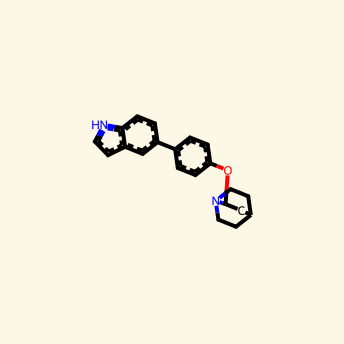 c1cc2cc(-c3ccc(OC4CC5CCN4CC5)cc3)ccc2[nH]1